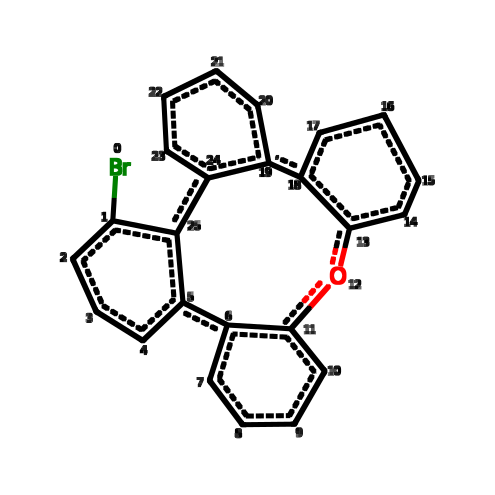 Brc1cccc2c3ccccc3oc3ccccc3c3ccccc3c12